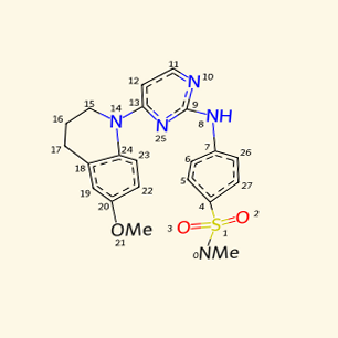 CNS(=O)(=O)c1ccc(Nc2nccc(N3CCCc4cc(OC)ccc43)n2)cc1